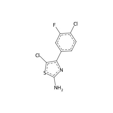 Nc1nc(-c2ccc(Cl)c(F)c2)c(Cl)s1